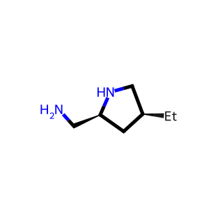 CC[C@@H]1CN[C@H](CN)C1